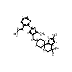 Cc1nn(-c2ncccc2/C=N/O)cc1CN1CCC2(CC1)OCC(F)(F)c1cc(Cl)sc12